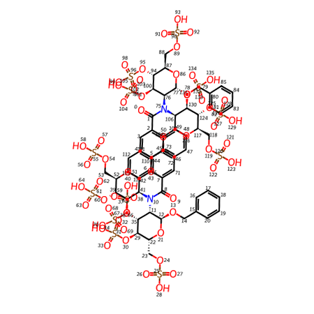 O=C(c1ccc2cc(C(=O)N([C@@H]3[C@@H](OCc4ccccc4)O[C@H](COS(=O)(=O)O)[C@@H](OS(=O)(=O)O)[C@@H]3OS(=O)(=O)O)[C@@H]3[C@@H](OCc4ccccc4)O[C@H](COS(=O)(=O)O)[C@@H](OS(=O)(=O)O)[C@@H]3OS(=O)(=O)O)ccc2c1)N([C@@H]1[C@@H](OCc2ccccc2)O[C@H](COS(=O)(=O)O)[C@@H](OS(=O)(=O)O)[C@@H]1OS(=O)(=O)O)[C@@H]1[C@@H](OCc2ccccc2)O[C@H](COS(=O)(=O)O)[C@@H](OS(=O)(=O)O)[C@@H]1OS(=O)(=O)O